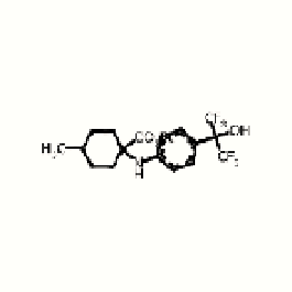 CCOC(=O)C1(Nc2ccc(C(O)(C(F)(F)F)C(F)(F)F)cc2)CCC(C)CC1